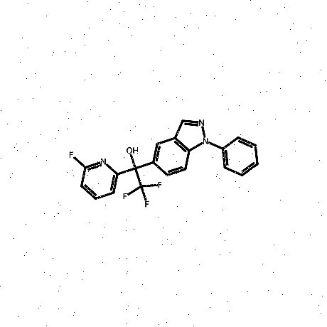 OC(c1ccc2c(cnn2-c2ccccc2)c1)(c1cccc(F)n1)C(F)(F)F